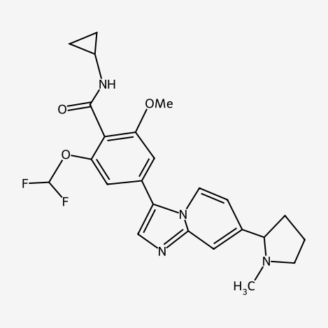 COc1cc(-c2cnc3cc(C4CCCN4C)ccn23)cc(OC(F)F)c1C(=O)NC1CC1